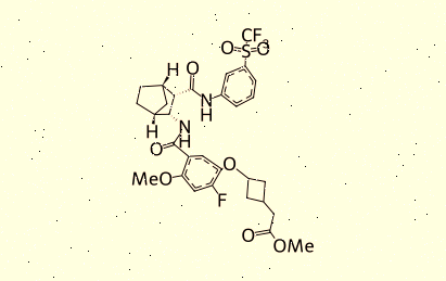 COC(=O)CC1CC(Oc2cc(C(=O)N[C@@H]3[C@@H]4CC[C@@H](C4)[C@@H]3C(=O)Nc3cccc(S(=O)(=O)C(F)(F)F)c3)c(OC)cc2F)C1